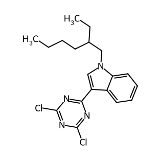 CCCCC(CC)Cn1cc(-c2nc(Cl)nc(Cl)n2)c2ccccc21